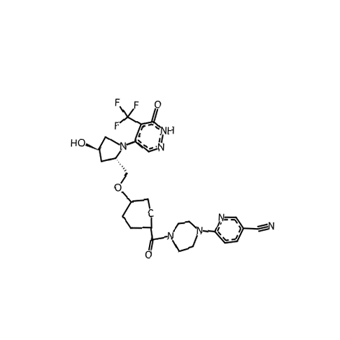 N#Cc1ccc(N2CCN(C(=O)C3CCC(OC[C@@H]4C[C@@H](O)CN4c4cn[nH]c(=O)c4C(F)(F)F)CC3)CC2)nc1